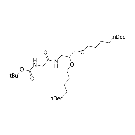 CCCCCCCCCCCCCCOC[C@@H](CNC(=O)CNC(=O)OC(C)(C)C)OCCCCCCCCCCCCCC